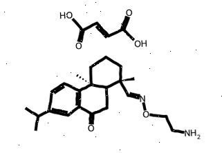 CC(C)c1ccc2c(c1)C(=O)CC1[C@@](C)(/C=N/OCCN)CCC[C@]21C.O=C(O)/C=C/C(=O)O